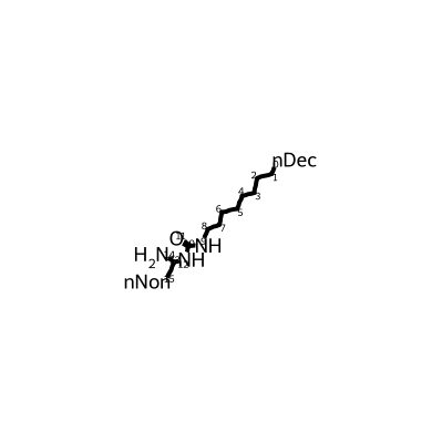 CCCCCCCCCCCCCCCCCCNC(=O)NC(N)CCCCCCCCC